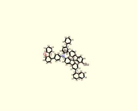 CC(C)(C)c1ccc2c(c1)C1(c3ccc(-c4cccc5ccccc45)cc3-c3ccc(N(c4ccc(-c5ccccc5)cc4)c4ccc(-c5cccc6oc7ccccc7c56)cc4)cc31)c1cc(C(C)(C)C)ccc1-2